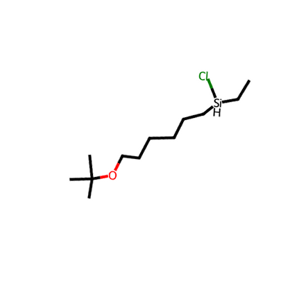 CC[SiH](Cl)CCCCCCOC(C)(C)C